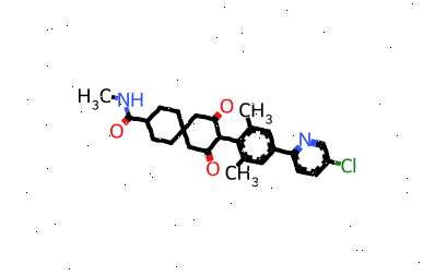 CNC(=O)C1CCC2(CC1)CC(=O)C(c1c(C)cc(-c3ccc(Cl)cn3)cc1C)C(=O)C2